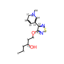 CCCC(O)CCOc1nsnc1C1=CN(C)CC=C1